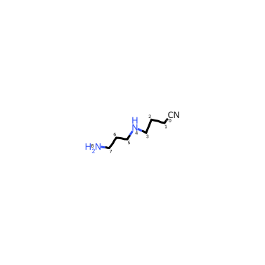 N#CCCCNCCCN